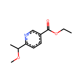 CCOC(=O)c1ccc(C(C)OC)nc1